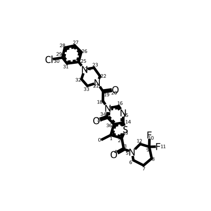 Cc1c(C(=O)N2CCCC(F)(F)C2)sc2ncn(CC(=O)N3CCN(c4cccc(Cl)c4)CC3)c(=O)c12